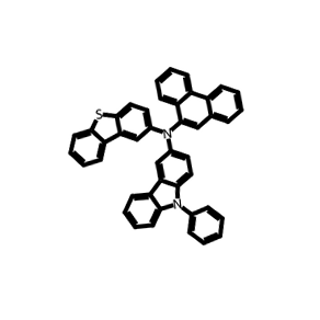 c1ccc(-n2c3ccccc3c3cc(N(c4ccc5sc6ccccc6c5c4)c4cc5ccccc5c5ccccc45)ccc32)cc1